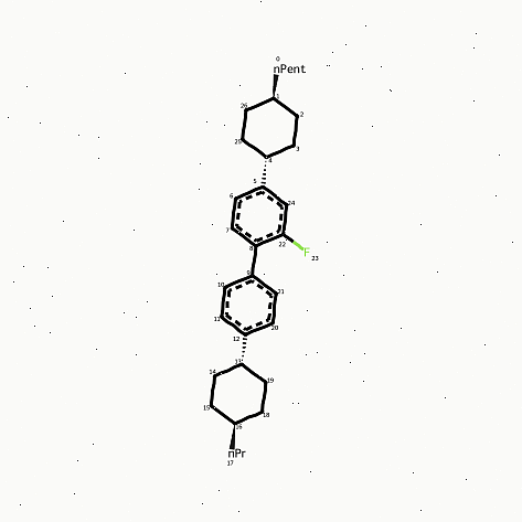 CCCCC[C@H]1CC[C@H](c2ccc(-c3ccc([C@H]4CC[C@H](CCC)CC4)cc3)c(F)c2)CC1